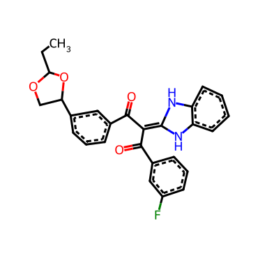 CCC1OCC(c2cccc(C(=O)C(C(=O)c3cccc(F)c3)=C3Nc4ccccc4N3)c2)O1